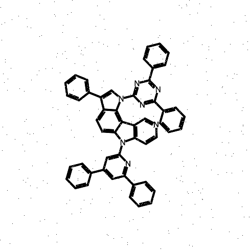 c1ccc(-c2cc(-c3ccccc3)nc(-n3c4ccncc4c4c5c(ccc43)c(-c3ccccc3)cn5-c3nc(-c4ccccc4)nc(-c4ccccc4)n3)c2)cc1